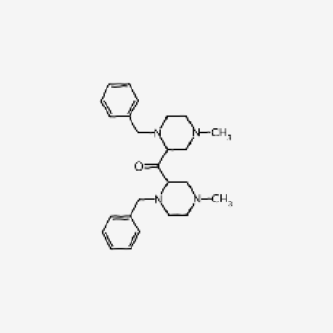 CN1CCN(Cc2ccccc2)C(C(=O)C2CN(C)CCN2Cc2ccccc2)C1